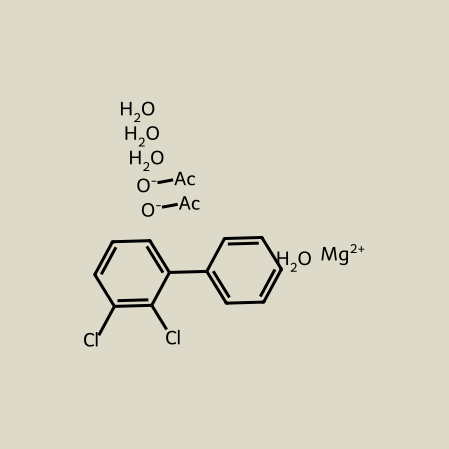 CC(=O)[O-].CC(=O)[O-].Clc1cccc(-c2ccccc2)c1Cl.O.O.O.O.[Mg+2]